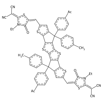 CCn1c(=C(C#N)C#N)s/c(=C/c2cc3c(s2)-c2sc4c5c(sc4c2C3(c2ccc(C)cc2)c2ccc(C(C)=O)cc2)-c2sc(/C=c3/sc(=C(C#N)C#N)n(CC)c3=O)cc2C5(c2ccc(C)cc2)c2ccc(C(C)=O)cc2)c1=O